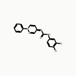 O=C(N=c1ccn(-c2ccccc2)nc1)Nc1ccc(Cl)c(Cl)c1